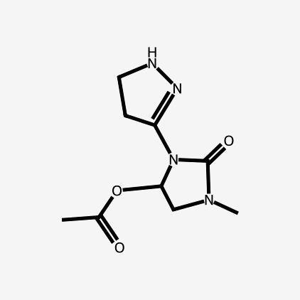 CC(=O)OC1CN(C)C(=O)N1C1=NNCC1